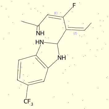 C/C=C(\C(F)=C/C(C)=N)C1Nc2ccc(C(F)(F)F)cc2N1